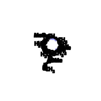 COCCO[C@H]1C[C@@H]2CC[C@@H](C)[C@@](O)(O2)C(=O)C(=O)N2CCCC[C@H]2C(=O)O[C@H]([C@H](C)C[C@@H]2CC[C@@H](OCCCN3CCO[C@H](C)C3)[C@H](OC)C2)CC(=O)[C@H](C)/C=C(\C)[C@@H](O)[C@@H](OC)C(=O)[C@H](C)C[C@H](C)/C=C/C=C/C=C/1C